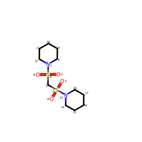 O=S(=O)(CS(=O)(=O)N1CCCCC1)N1CCCCC1